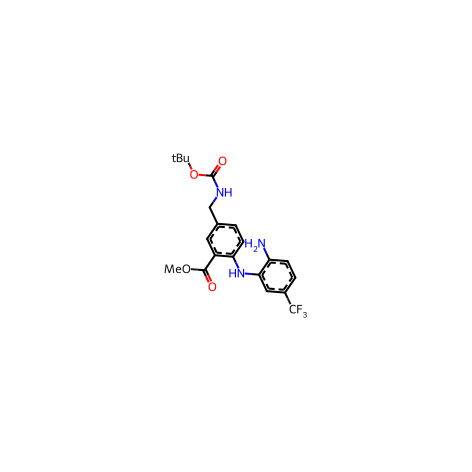 COC(=O)c1cc(CNC(=O)OC(C)(C)C)ccc1Nc1cc(C(F)(F)F)ccc1N